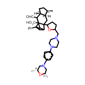 CC(C)C1=CC2CC3(C=O)[C@@H]4CC[C@@H](C)[C@H]4CC2(C2CCC(CN4CCN(c5ccc(N6C[C@@H](C)O[C@@H](C)C6)cc5)CC4)O2)C13C(=O)O